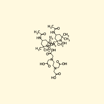 CC(=O)NC1CC(C)(C)N(O)C(C)(C)C1.CC(=O)NC1CC(C)(C)N(O)C(C)(C)C1.O=C(O)CN(CCN(CC(=O)O)CC(=O)O)CC(=O)O